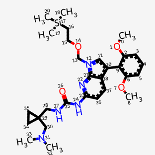 COc1cccc(OC)c1-c1cn(COCC[Si](C)(C)C)c2nc(NC(=O)NCC3(CN(C)C)CC3)ccc12